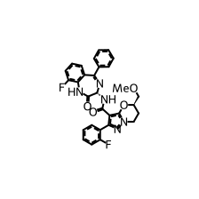 COC[C@H]1CCn2nc(-c3ccccc3F)c(C(=O)N[C@H]3N=C(c4ccccc4)c4cccc(F)c4NC3=O)c2O1